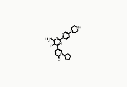 Nc1nc(-c2ccc(N3CCNCC3)cn2)nc(-c2ccc(=O)n(C3CCCC3)c2)c1F